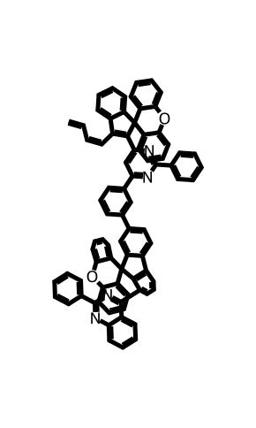 C=C/C=C\C1=C(c2cc(-c3cccc(-c4ccc5c(c4)C4(c6ccccc6Oc6ccccc64)c4c-5cccc4-c4nc(-c5ccccc5)nc5ccccc45)c3)nc(-c3ccccc3)n2)C2(c3ccccc3Oc3ccccc32)c2ccccc21